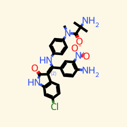 CN(C(=O)C(C)(C)N)c1ccc(N/C(=C2\C(=O)Nc3cc(Cl)ccc32)c2ccc(N)c([N+](=O)[O-])c2)cc1